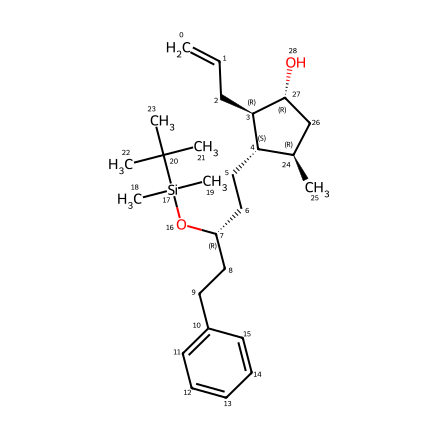 C=CC[C@@H]1[C@@H](CC[C@H](CCc2ccccc2)O[Si](C)(C)C(C)(C)C)[C@H](C)C[C@H]1O